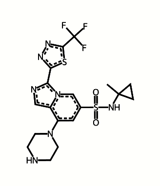 CC1(NS(=O)(=O)c2cc(N3CCNCC3)c3cnc(-c4nnc(C(F)(F)F)s4)n3c2)CC1